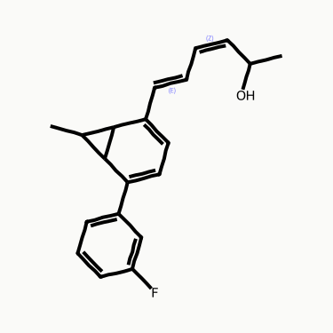 CC(O)/C=C\C=C\C1=CC=C(c2cccc(F)c2)C2C(C)C12